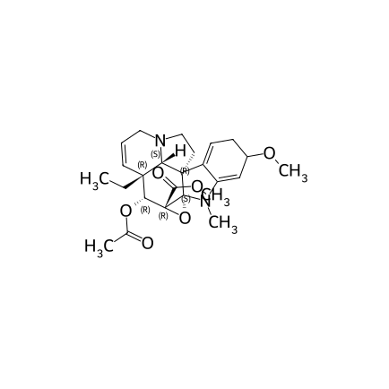 CC[C@]12C=CCN3CC[C@@]4(C5=CCC(OC)C=C5N(C)[C@]45O[C@]5(C(=O)OC)[C@@H]1OC(C)=O)[C@@H]32